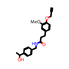 C#CCOc1ccc(CCC(=O)NCc2ccc(C(C)O)cc2)cc1OC